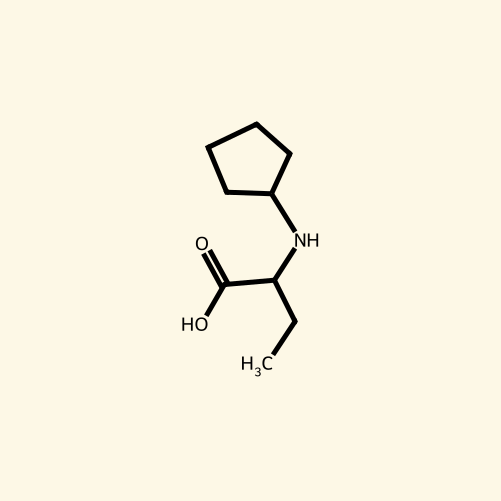 CCC(NC1CCCC1)C(=O)O